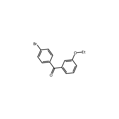 CCOc1cccc(C(=O)c2ccc(Br)cc2)c1